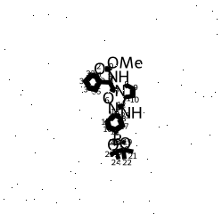 COC(=O)N[C@@H](C(=O)N1CC=C[C@H]1c1nc2ccc(B3OC(C)(C)C(C)(C)O3)cc2[nH]1)c1ccccc1